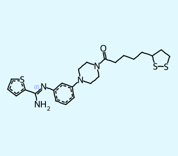 N/C(=N\c1cccc(N2CCN(C(=O)CCCCC3CCSS3)CC2)c1)c1cccs1